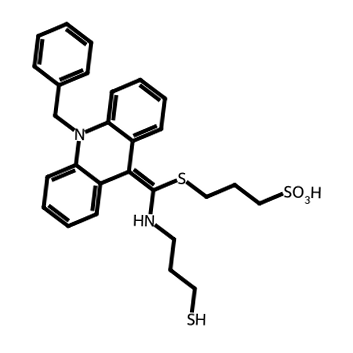 O=S(=O)(O)CCCSC(NCCCS)=C1c2ccccc2N(Cc2ccccc2)c2ccccc21